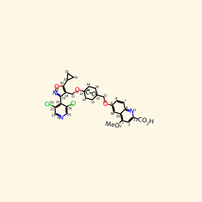 COc1cc(C(=O)O)nc2ccc(OCC34CCC(OCc5c(-c6c(Cl)cncc6Cl)noc5C5CC5)(CC3)CC4)cc12